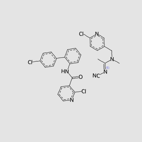 C/C(=N\C#N)N(C)Cc1ccc(Cl)nc1.O=C(Nc1ccccc1-c1ccc(Cl)cc1)c1cccnc1Cl